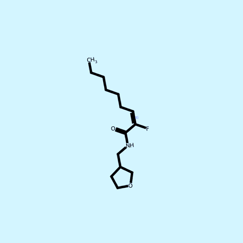 CCCCCC/C=C(/F)C(=O)NCC1CCOC1